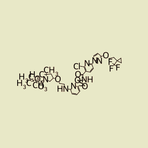 CC(C)(C)OC(=O)N1CC(OCCNc2cccc(S(=O)(=O)NC(=O)c3ccc(-n4ccc(OCCC5(C(F)(F)F)CC5)n4)nc3Cl)n2)CC1(C)C